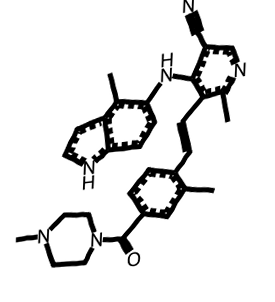 Cc1cc(C(=O)N2CCN(C)CC2)ccc1C=Cc1c(C)ncc(C#N)c1Nc1ccc2[nH]ccc2c1C